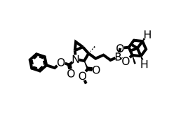 COC(=O)[C@H]1N(C(=O)OCc2ccccc2)C2CC2[C@@]1(C)CCCB1OC2C[C@@H]3C[C@@H](C3(C)C)[C@]2(C)O1